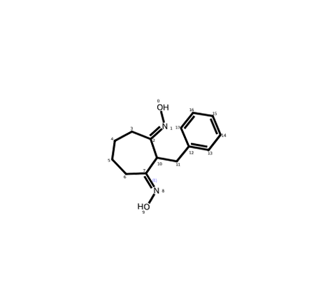 ON=C1CCCC/C(=N\O)C1Cc1ccccc1